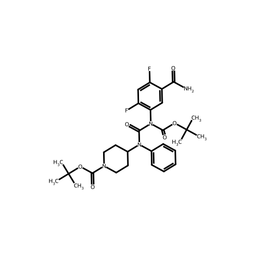 CC(C)(C)OC(=O)N1CCC(N(C(=O)N(C(=O)OC(C)(C)C)c2cc(C(N)=O)c(F)cc2F)c2ccccc2)CC1